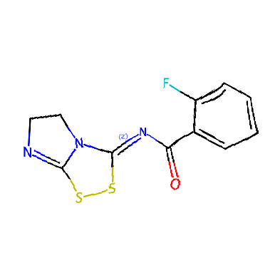 O=C(/N=C1\SSC2=NCCN21)c1ccccc1F